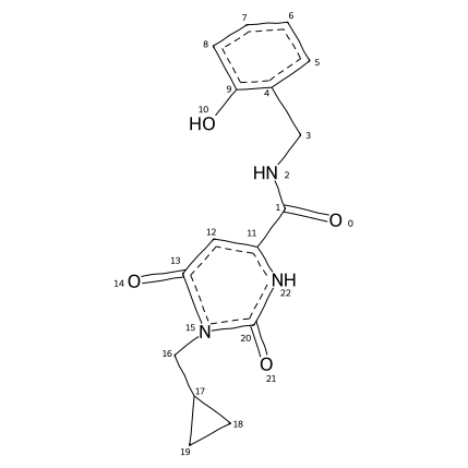 O=C(NCc1ccccc1O)c1cc(=O)n(CC2CC2)c(=O)[nH]1